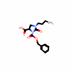 CCCCN1CC(C(=O)O)N(C(=O)OCc2ccccc2)C1=O